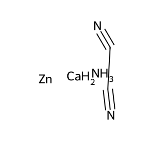 N.N#CC#N.[CaH2].[Zn]